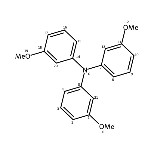 COc1cccc(N(c2cccc(OC)c2)c2cccc(OC)c2)c1